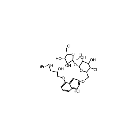 CC(C)NC[C@H](O)COc1cccc2ccccc12.Cl.OC[C@H]1O[C@H](O[C@]2(CCl)O[C@H](CCl)[C@@H](O)[C@@H]2O)[C@H](O)[C@@H](O)[C@H]1Cl